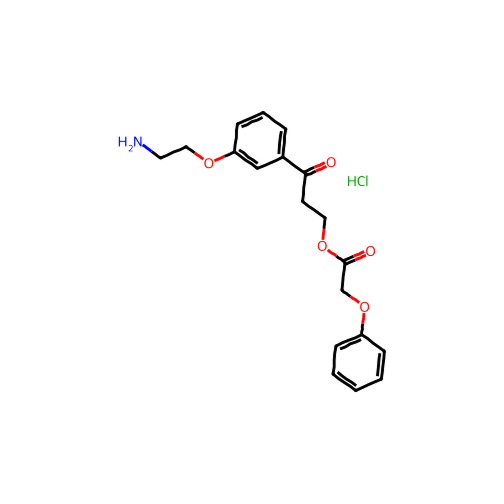 Cl.NCCOc1cccc(C(=O)CCOC(=O)COc2ccccc2)c1